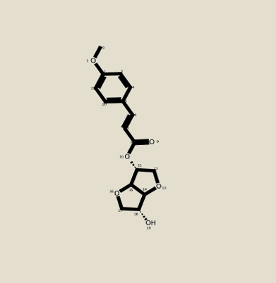 COc1ccc(/C=C/C(=O)O[C@@H]2COC3C2OC[C@H]3O)cc1